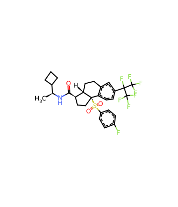 C[C@H](NC(=O)[C@@H]1CC[C@@]2(S(=O)(=O)c3ccc(F)cc3)c3ccc(C(F)(C(F)(F)F)C(F)(F)F)cc3CC[C@@H]12)C1CCC1